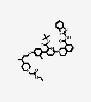 CCOC(=O)CN1CCC(C(C)CCOc2ccc(-c3ccc(N4CCc5cccc(C(=O)Nc6nc7ccccc7s6)c5C4)nc3C(=O)OC(C)(C)C)c(C)c2)CC1